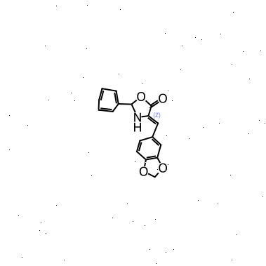 O=C1OC(c2ccccc2)N/C1=C\c1ccc2c(c1)OCO2